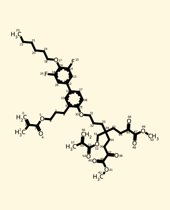 C=C(C)C(=O)OCCCc1cc(-c2cc(F)c(OCCCCCC)c(F)c2)ccc1OCCCC(CCC(=O)C(=O)OC)(CCC(=O)C(=O)OC)COC(=O)C(=C)C